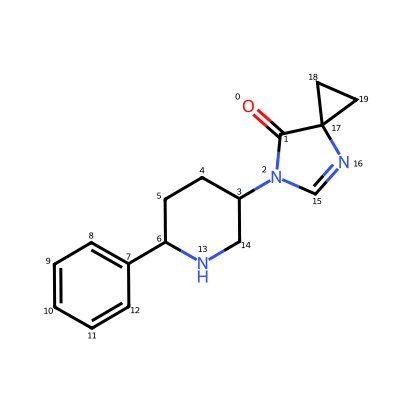 O=C1N(C2CCC(c3ccccc3)NC2)C=NC12CC2